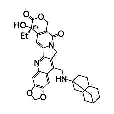 CC[C@@]1(O)C(=O)OCc2c1cc1n(c2=O)Cc2c-1nc1cc3c(cc1c2CNC12CCC4CCC(CC4C1)C2)OCO3